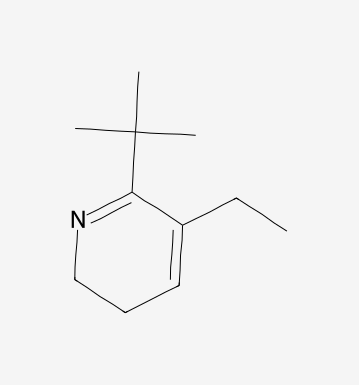 CCC1=CCCN=C1C(C)(C)C